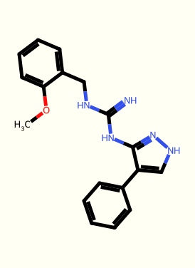 COc1ccccc1CNC(=N)Nc1n[nH]cc1-c1ccccc1